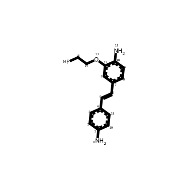 Nc1ccc(C=Cc2ccc(N)c(OCCF)c2)cc1